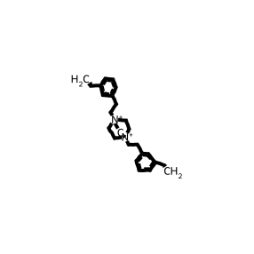 C=Cc1cccc(CC[N+]23CC[N+](CCc4cccc(C=C)c4)(CC2)CC3)c1